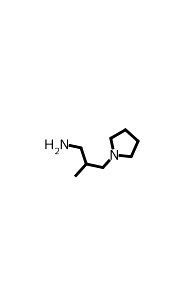 CC(CN)CN1CCCC1